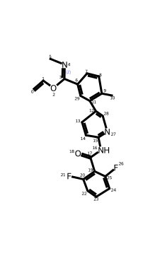 C=CO/C(=N\C)c1ccc(C)c(-c2ccc(NC(=O)c3c(F)cccc3F)nc2)c1